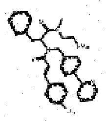 CNCCN(C)C(=O)C(Cc1ccccc1)N(Cc1ccc(-c2ccccn2)cc1)C(=O)C=Cc1ccc(C(F)(F)F)cc1